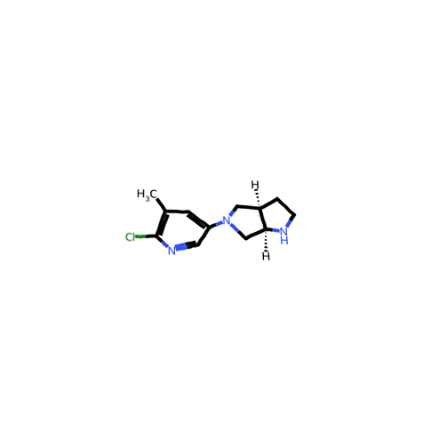 Cc1cc(N2C[C@H]3CCN[C@H]3C2)cnc1Cl